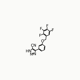 N#Cc1[nH]nnc1-c1cccc(OCc2cc(F)c(F)c(F)c2F)c1